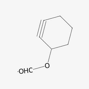 O=[C]OC1C#CCCC1